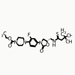 CCOC(=O)N1CCN(c2ccc(N3C[C@H](CNC(=S)CC(C)(C)C)OC3=O)cc2F)CC1